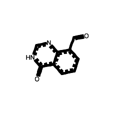 O=Cc1cccc2c(=O)[nH]cnc12